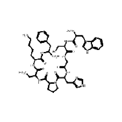 CC(=O)NC(Cc1c[nH]c2ccccc12)C(=O)NC(CC(C)C)C(=O)NCC(=O)NC(Cc1c[nH]cn1)C(=O)N1CCCC1C(=O)NC(CC(=O)O)C(=O)NC(CCCCN)C(=O)NC(Cc1ccccc1)C(=O)O